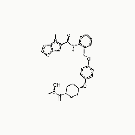 CB(O)N[C@H]1CC[C@@H](Oc2ccc(OCc3ccccc3NC(=O)c3cc4sccc4n3C)cc2)CC1